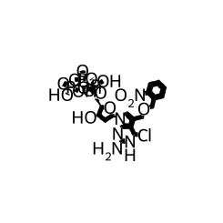 NC1=Nc2c(c(COCc3ccccc3[N+](=O)[O-])cn2[C@H]2C[C@@H](O)[C@@H](COP(=O)(O)OP(=O)(O)OP(=O)(O)O)O2)C(Cl)N1